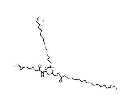 CCCCCCCCCCCCCCCC(=O)OCC(CCNC(=O)COCCOC)OC(=O)CCCCCCCCCCCCCCC